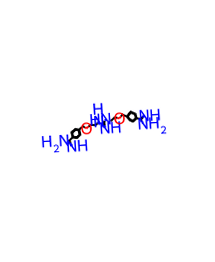 N=C(NCCOCc1ccc(C(=N)N)cc1)NCCOCc1ccc(C(=N)N)cc1